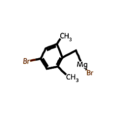 Cc1cc(Br)cc(C)c1[CH2][Mg][Br]